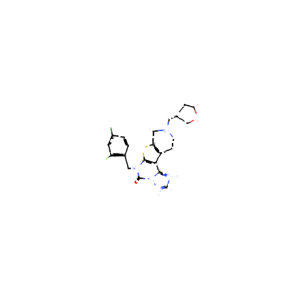 O=c1n(Cc2ccc(Cl)cc2F)c2sc3c(c2c2ncnn12)CCN(CC1CCOC1)C3